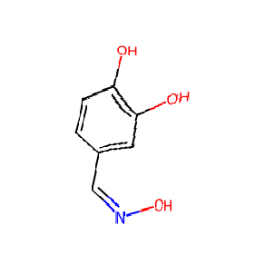 O/N=C\c1ccc(O)c(O)c1